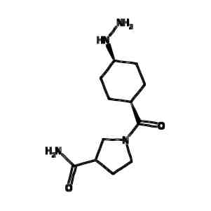 NN[C@H]1CC[C@@H](C(=O)N2CCC(C(N)=O)C2)CC1